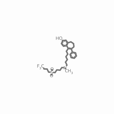 CN(CCCCCCC1=C(c2ccccc2)CCCc2cc(O)ccc21)CCCCS(=O)(=O)CCCC(F)(F)F